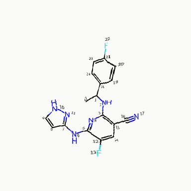 CC(Nc1nc(Nc2cc[nH]n2)c(F)cc1C#N)c1ccc(F)cc1